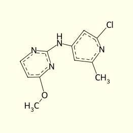 COc1ccnc(Nc2cc(C)nc(Cl)c2)n1